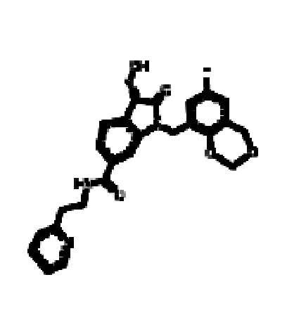 O=C(NCCc1ccccn1)c1ccc2c(c1)N(Cc1cc(F)cc3c1OCOC3)C(=O)/C2=N\O